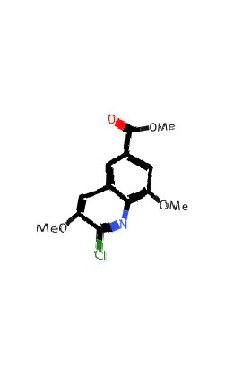 COC(=O)c1cc(OC)c2nc(Cl)c(OC)cc2c1